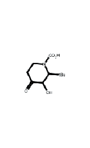 CC(C)(C)C1C(O)C(=O)CCN1C(=O)O